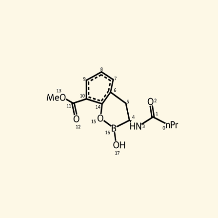 CCCC(=O)N[C@H]1Cc2cccc(C(=O)OC)c2OB1O